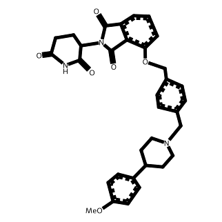 COc1ccc(C2CCN(Cc3ccc(COc4cccc5c4C(=O)N(C4CCC(=O)NC4=O)C5=O)cc3)CC2)cc1